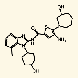 Cc1cccc2nc(NC(=O)c3cc(N)c(N4CCCC[C@H](O)C4)s3)n(C3CCC(O)CC3)c12